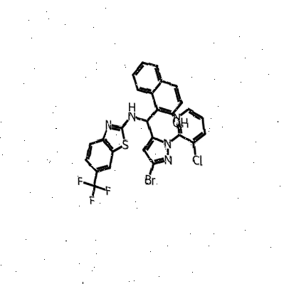 Oc1ccc2ccccc2c1C(Nc1nc2ccc(C(F)(F)F)cc2s1)c1cc(Br)nn1-c1ncccc1Cl